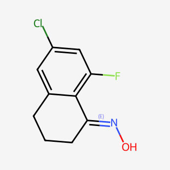 O/N=C1\CCCc2cc(Cl)cc(F)c21